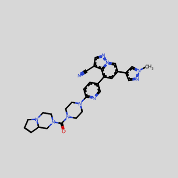 Cn1cc(-c2cc(-c3ccc(N4CCN(C(=O)N5CCN6CCCC6C5)CC4)nc3)c3c(C#N)cnn3c2)cn1